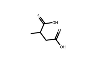 CC(CC(=O)O)C(O)=S